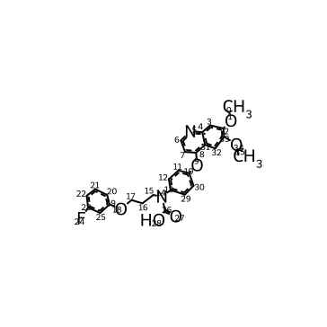 COc1cc2nccc(Oc3ccc(N(CCCOc4cccc(F)c4)C(=O)O)cc3)c2cc1OC